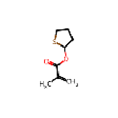 C=C(C)C(=O)OC1CCCS1